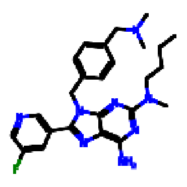 CCCCN(C)c1nc(N)c2nc(-c3cncc(F)c3)n(Cc3ccc(CN(C)C)cc3)c2n1